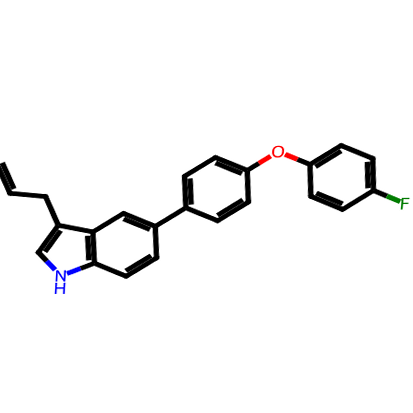 C=CCc1c[nH]c2ccc(-c3ccc(Oc4ccc(F)cc4)cc3)cc12